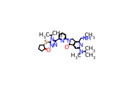 CNCc1nc(N(C)C(C)C)cc2c1CN(c1cccc(-c3nnc(SC4CCCC4=O)n3C(C)C)n1)C2=O